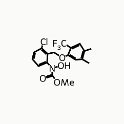 COC(=O)N(O)c1cccc(Cl)c1COc1cc(C)c(C)cc1C(F)(F)F